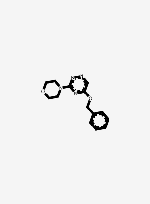 c1ccc(COc2cnnc(N3CCOCC3)n2)cc1